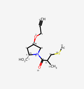 C#CCO[C@@H]1C[C@@H](C(=O)O)N(C(=O)C(C)CSC(C)=O)C1